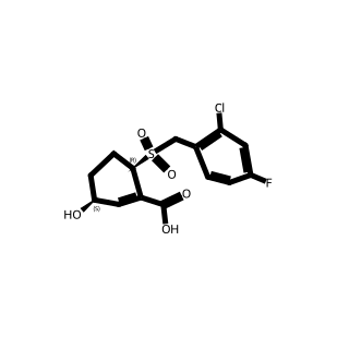 O=C(O)C1=C[C@@H](O)CC[C@H]1S(=O)(=O)Cc1ccc(F)cc1Cl